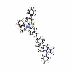 Cc1c(C)n(-c2ccccc2)c2cc3c(cc12)-c1ccc(/C=C/c2ccc(N(c4ccccc4)c4c(F)cc(-c5ccccc5)cc4-c4ccccc4)cc2)cc1C3(C)C